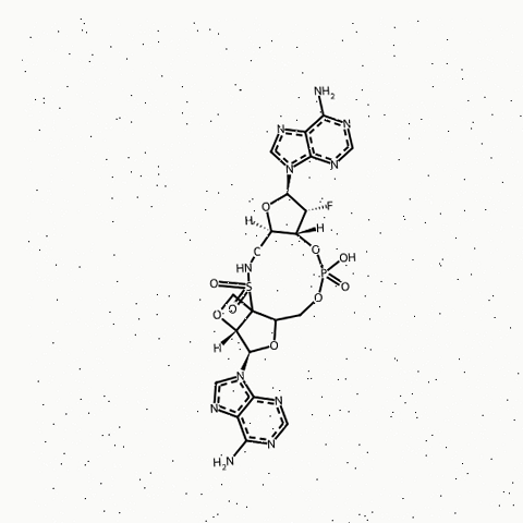 Nc1ncnc2c1ncn2[C@@H]1O[C@@H]2CNS(=O)(=O)C34CO[C@H]3[C@H](n3cnc5c(N)ncnc53)OC4COP(=O)(O)O[C@H]2[C@H]1F